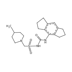 CC1CCN(CS(=O)(=O)NC(=O)Nc2c3c(cc4c2CCC4)CCC3)CC1